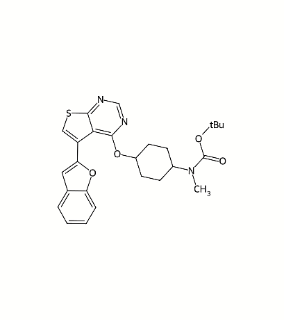 CN(C(=O)OC(C)(C)C)C1CCC(Oc2ncnc3scc(-c4cc5ccccc5o4)c23)CC1